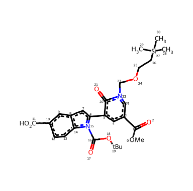 COC(=O)c1cc(-c2cc3cc(C(=O)O)ccc3n2C(=O)OC(C)(C)C)c(=O)n(COCC[Si](C)(C)C)c1